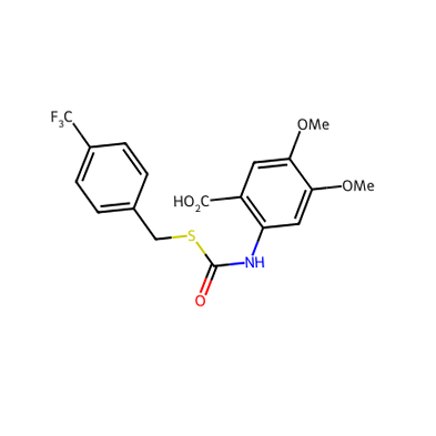 COc1cc(NC(=O)SCc2ccc(C(F)(F)F)cc2)c(C(=O)O)cc1OC